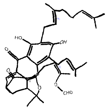 CC(C)=CCC/C(C)=C/Cc1c(O)c(CC=C(C)C)c2c(c1O)C(=O)C1=CC3CC4C(C)(C)OC(C/C=C(/C)OC=O)(C3=O)[C@@]14O2